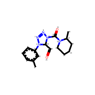 Cc1cccc(N2N=NN(C(=O)N3CCCCC3C)C2C=O)c1